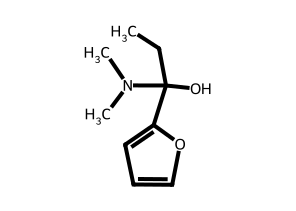 CCC(O)(c1ccco1)N(C)C